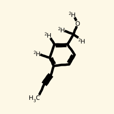 [2H]OC([2H])([2H])c1ccc(C#CC)c([2H])c1[2H]